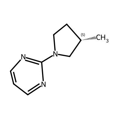 C[C@H]1CCN(c2ncccn2)C1